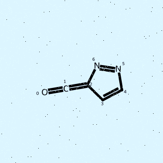 O=C=C1C=CN=N1